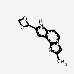 Cc1cn2ccc3[nH]c(C4OCO4)cc3c2n1